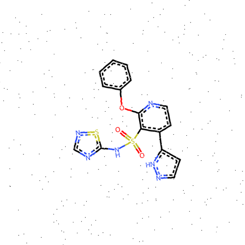 O=S(=O)(Nc1ncns1)c1c(-c2ccn[nH]2)ccnc1Oc1ccccc1